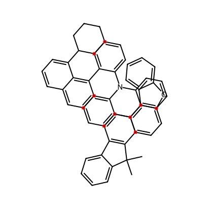 CC1(C)C2=C(C=CC(c3ccccc3N(c3ccccc3-c3cccc4cccc(C5CCCCC5)c34)c3ccccc3-c3cccc4oc5ccccc5c34)C2)c2ccccc21